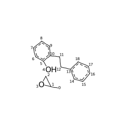 CC1CO1.Oc1ccccc1CCc1ccccc1